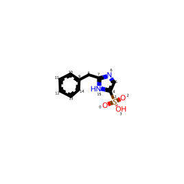 O=S(=O)(O)c1cnc(Cc2ccccc2)[nH]1